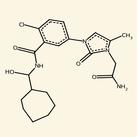 Cc1cn(-c2ccc(Cl)c(C(=O)NC(O)C3CCCCCC3)c2)c(=O)n1CC(N)=O